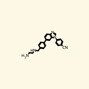 N#Cc1ccc(-n2cnc3ccc(-c4ccc(CNCCN)cc4)cc32)cc1